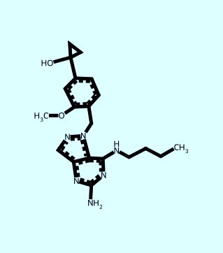 CCCCNc1nc(N)nc2cnn(Cc3ccc(C4(O)CC4)cc3OC)c12